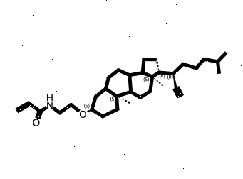 C#C[C@H](CCCC(C)C)[C@H]1CCC2C3CCC4C[C@@H](OCCNC(=O)C=C)CC[C@]4(C)C3CC[C@@]21C